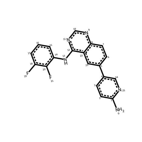 Nc1ccc(-c2ccc3ncnc(Nc4cccc(F)c4F)c3c2)cn1